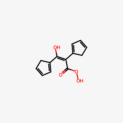 O=C(OO)C(C1=CC=CC1)=C(O)C1=CC=CC1